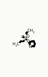 C=CCS(=O)(=O)OC=C.c1ccncc1